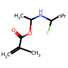 C=C(C)C(=O)OC(C)NC(F)CCC